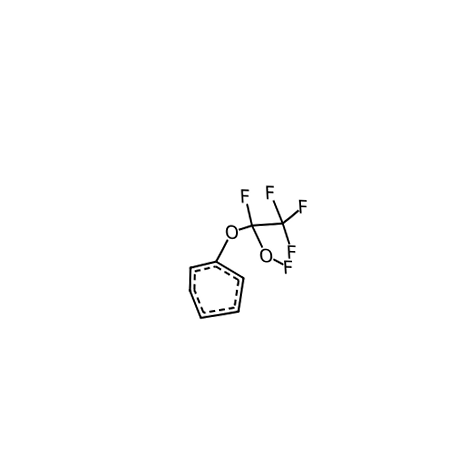 FOC(F)(Oc1ccccc1)C(F)(F)F